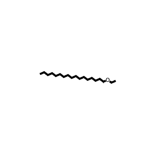 CCCCCCCCCCCCCCCC[CH]OCC